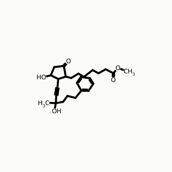 COC(=O)CCCCCCC1C(=O)CC(O)C1C#CC(C)(O)CCCc1ccccc1